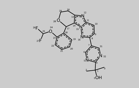 CC(C)(O)c1ncc(-c2ccc3nc4c(n3n2)C(c2ccccc2OC(F)F)OCC4)cn1